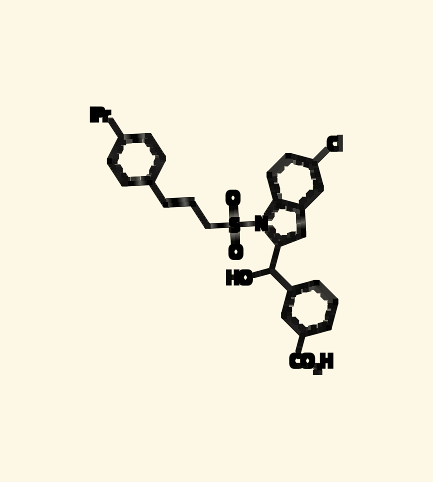 CC(C)c1ccc(C=CCS(=O)(=O)n2c(C(O)c3cccc(C(=O)O)c3)cc3cc(Cl)ccc32)cc1